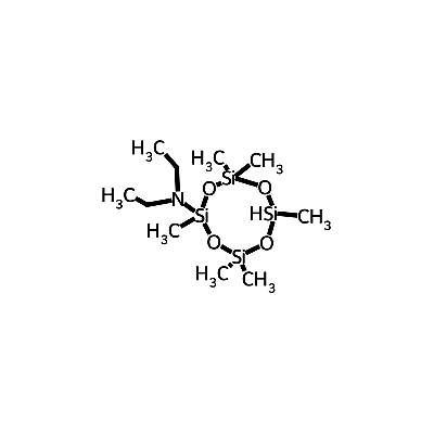 CCN(CC)[Si]1(C)O[Si](C)(C)O[SiH](C)O[Si](C)(C)O1